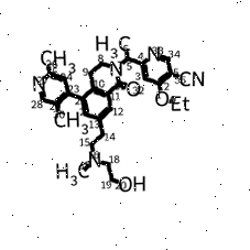 CCOc1cc(C(C)N2CCc3c(cc(CCN(C)CCO)cc3-c3cc(C)ncc3C)C2=O)ncc1C#N